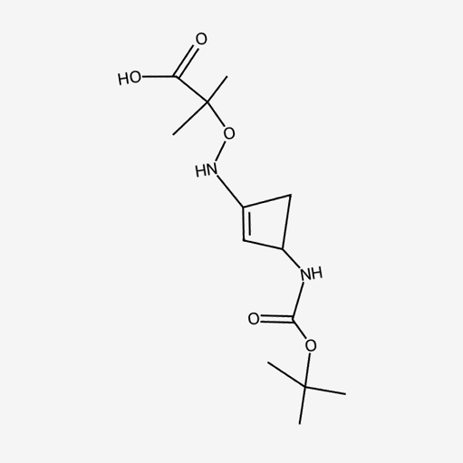 CC(C)(C)OC(=O)NC1C=C(NOC(C)(C)C(=O)O)C1